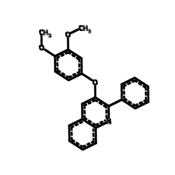 COc1ccc(Oc2cc3ccccc3nc2-c2ccccc2)cc1OC